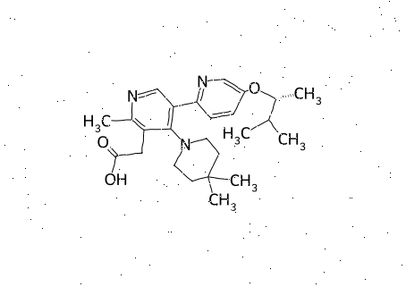 Cc1ncc(-c2ccc(O[C@H](C)C(C)C)cn2)c(N2CCC(C)(C)CC2)c1CC(=O)O